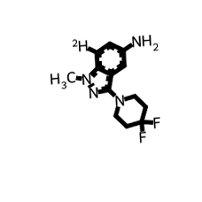 [2H]c1cc(N)cc2c(N3CCC(F)(F)CC3)nn(C)c12